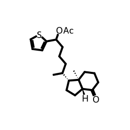 CC(=O)OC(CCCC(C)[C@H]1CC[C@H]2C(=O)CCC[C@]12C)c1cccs1